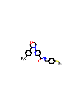 CCSc1ccc(CNC(=O)c2ccc(N3CCOCC3c3ccc(C(F)(F)F)cc3)nc2)cc1